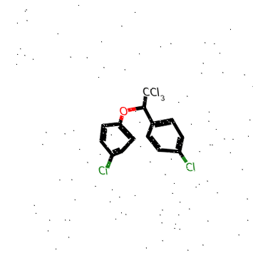 Clc1ccc(OC(c2ccc(Cl)cc2)C(Cl)(Cl)Cl)cc1